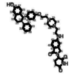 O=C1CCC(N2Cc3cc(NCCN4CCN(CCOc5ccc([C@@H]6c7ccc(O)cc7CC[C@@H]6c6ccccc6)cc5)CC4)ccc3C2=O)C(=O)N1